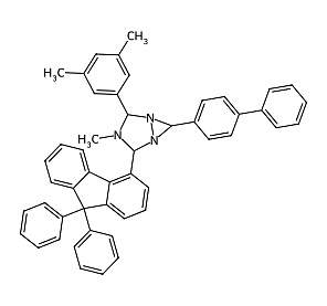 Cc1cc(C)cc(C2N(C)C(c3cccc4c3-c3ccccc3C4(c3ccccc3)c3ccccc3)N3C(c4ccc(-c5ccccc5)cc4)N23)c1